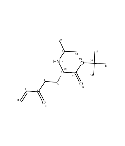 C=CC(=O)CC[C@H](NC(C)C)C(=O)OC(C)(C)C